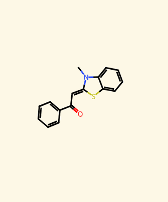 CN1/C(=C/C(=O)c2ccccc2)Sc2ccccc21